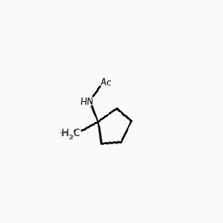 [CH2]C1(NC(C)=O)CCCC1